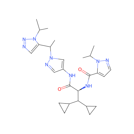 CC(c1cnnn1C(C)C)n1cc(NC(=O)[C@@H](NC(=O)c2ccnn2C(C)C)C(C2CC2)C2CC2)cn1